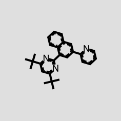 CC(C)(C)c1cc(C(C)(C)C)nc(-c2cc(-c3ccccn3)cc3ccccc23)n1